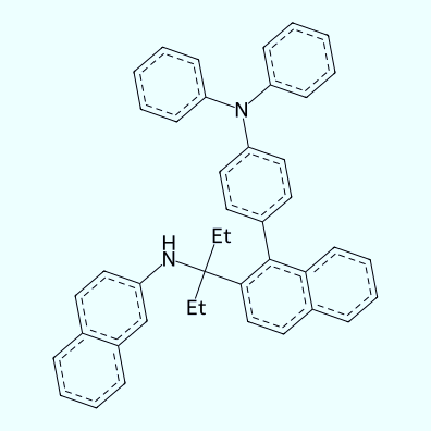 CCC(CC)(Nc1ccc2ccccc2c1)c1ccc2ccccc2c1-c1ccc(N(c2ccccc2)c2ccccc2)cc1